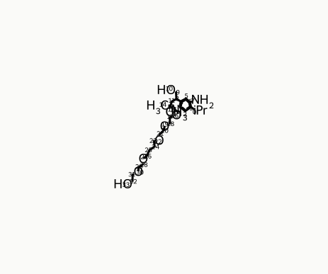 CC(C)c1cc2c(cc1N)C(CO)CC(C)(C)N2OCCOCCOCCCCOCCOCCO